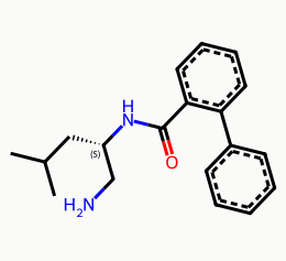 CC(C)C[C@@H](CN)NC(=O)c1ccccc1-c1ccccc1